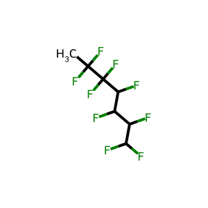 CC(F)(F)C(F)(F)C(F)C(F)C(F)C(F)F